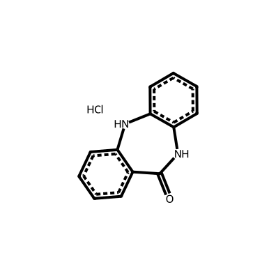 Cl.O=C1Nc2ccccc2Nc2ccccc21